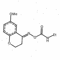 CCNC(=O)O/N=C1\CCOc2ccc(OC)cc21